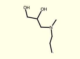 [CH2]CCN(C)CC(O)CO